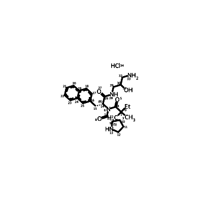 CCC(C)(C)C(=O)N(C(=O)[C@@H]1CCCN1)[C@H](Cc1ccc2ccccc2c1)C(=O)NCC(O)CN.Cl